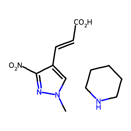 C1CCNCC1.Cn1cc(/C=C/C(=O)O)c([N+](=O)[O-])n1